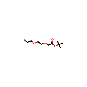 CC(C)(C)OC(=O)COCCOCCI